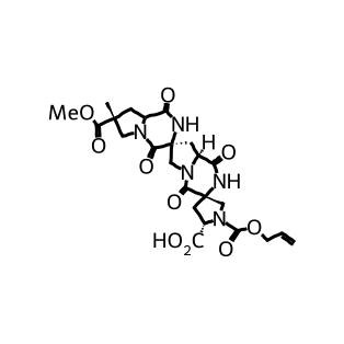 C=CCOC(=O)N1C[C@]2(C[C@H]1C(=O)O)NC(=O)[C@@H]1C[C@@]3(CN1C2=O)NC(=O)C1C[C@@](C)(C(=O)OC)CN1C3=O